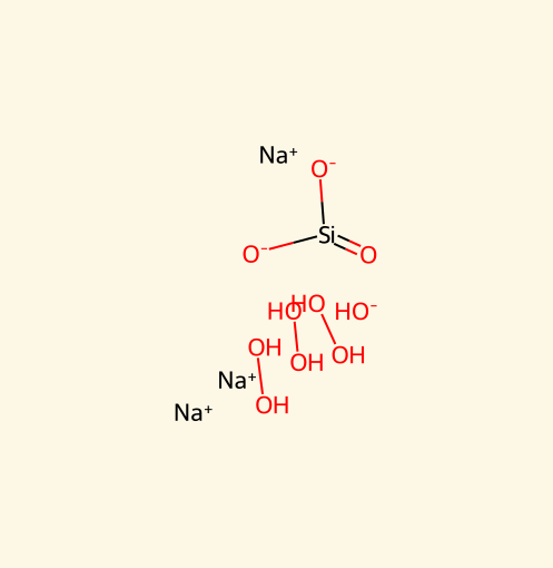 O=[Si]([O-])[O-].OO.OO.OO.[Na+].[Na+].[Na+].[OH-]